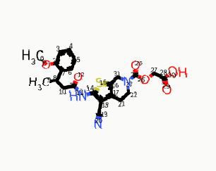 COc1ccccc1C(C)CC(=O)Nc1sc2c(c1C#N)CCN(C(=O)OCC(=O)O)C2